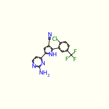 N#Cc1cc(-c2ccnc(N)n2)[nH]c1-c1cc(C(F)(F)F)ccc1Cl